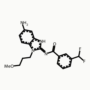 COCCCn1/c(=N/C(=O)c2cccc(C(F)F)c2)[nH]c2cc(N)ccc21